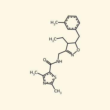 CCC1C(CNC(=O)c2sc(C)nc2C)=NOC1Cc1cccc(C)c1